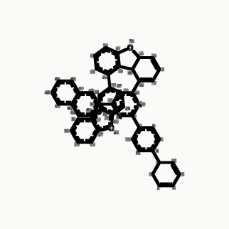 C1=CCC(c2ccc(-c3nc(C4=CC=CC5Oc6cccc(-c7ccc8oc9ccccc9c8c7)c6C45)nc(-c4ccc5ccccc5c4)n3)cc2)C=C1